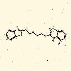 CSc1nccc(C)c1NC(=O)CCCCCSc1nc2ccccc2o1